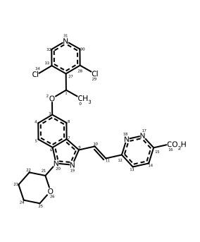 CC(Oc1ccc2c(c1)c(/C=C/c1ccc(C(=O)O)nn1)nn2C1CCCCO1)c1c(Cl)cncc1Cl